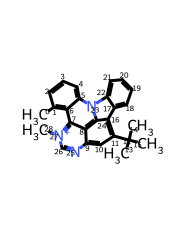 Cc1cccc2c1c1c3c(cc(C(C)(C)C)c4c5ccccc5n2c43)nc[n+]1C